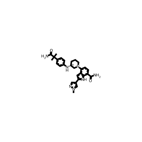 Cn1cc(-c2cc3c(N4CCC[C@@H](Nc5ccc(C(C)(C)C(N)=O)cc5)C4)ccc(C(N)=O)c3[nH]2)cn1